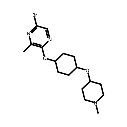 Cc1nc(Br)cnc1OC1CCC(OC2CCN(C)CC2)CC1